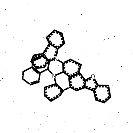 C1=CC2=C(C=CCC2N(c2ccccc2-c2ccc3oc4ccccc4c3c2)c2ccccc2-n2c3ccccc3c3ccccc32)CC1